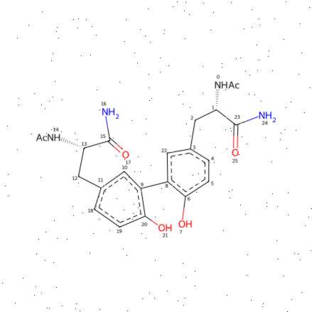 CC(=O)N[C@@H](Cc1ccc(O)c(-c2cc(C[C@H](NC(C)=O)C(N)=O)ccc2O)c1)C(N)=O